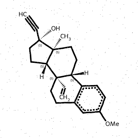 C#C[C@]1(O)CC[C@H]2[C@]3(C=C)CCc4cc(OC)ccc4[C@H]3CC[C@@]21C